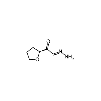 NN=CC(=O)[C@@H]1CCCO1